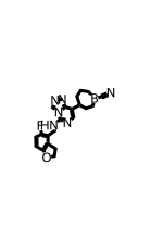 N#CB1CCCC(c2cnc(NCc3c(F)ccc4c3CCO4)n3cnnc23)CC1